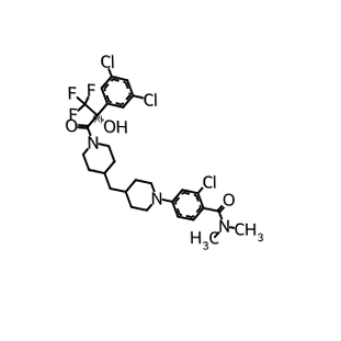 CN(C)C(=O)c1ccc(N2CCC(CC3CCN(C(=O)[C@](O)(c4cc(Cl)cc(Cl)c4)C(F)(F)F)CC3)CC2)cc1Cl